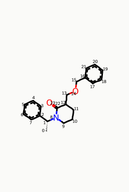 C[C@H](c1ccccc1)N1CCCC(COCc2ccccc2)C1=O